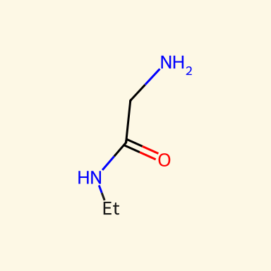 [CH2]CNC(=O)CN